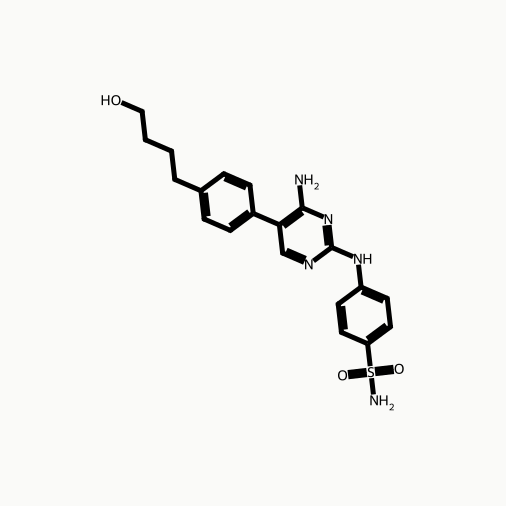 Nc1nc(Nc2ccc(S(N)(=O)=O)cc2)ncc1-c1ccc(CCCCO)cc1